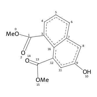 COC(=O)c1cccc2cc(O)cc(C(=O)OC)c12